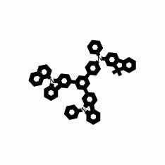 CC1(C)c2ccccc2-c2ccc(N(c3ccccc3)c3ccc(-c4cc(-c5ccc6c(c5)c5ccccc5n6-c5cccc6ccccc56)cc(-c5ccc6c7ccccc7n(-c7ccccc7)c6c5)c4)cc3)cc21